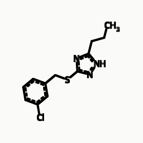 CCCc1nc(SCc2cccc(Cl)c2)n[nH]1